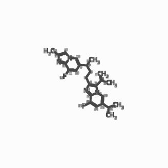 C=C(C)c1c(CCC(C)c2cc(F)c3nc(C)cn3c2)nc2c(F)cc(C(C)C)cn12